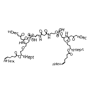 CCCCCC/C=C\CCCC(=O)O[C@H](CCCCCCC)CCOCC(COP(=O)(O)OCCNC(=O)CC(=O)NCCOP(=O)(O)OCC(COCC[C@@H](CCCCCCC)OC(=O)CCC/C=C\CCCCCC)NC(=O)CC(=O)CCCCCCCCCCC)NC(=O)CC(=O)CCCCCCCCCCC